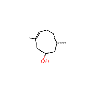 CC1=CCCC(C)CC(O)C1